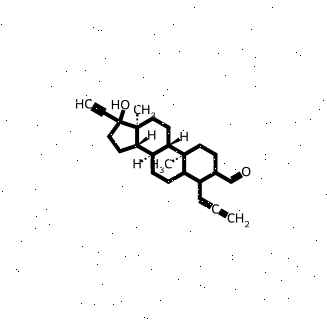 C#CC1(O)CC[C@H]2[C@@H]3CCC4C(C=C=C)C(C=O)CC[C@]4(C)[C@H]3CC[C@@]21C